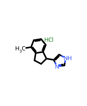 Cc1cccc2c1CCC2c1c[nH]cn1.Cl